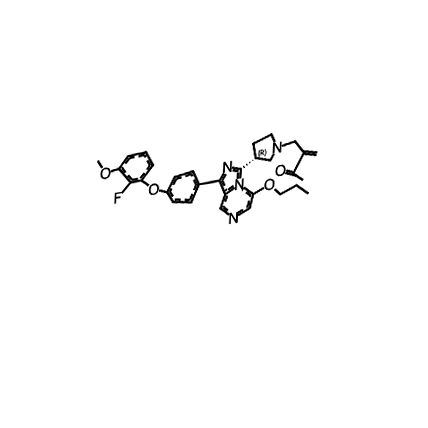 C=C(CN1CC[C@@H](c2nc(-c3ccc(Oc4cccc(OC)c4F)cc3)c3cncc(OCCC)n23)C1)C(C)=O